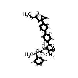 COC(=O)CC1(c2ccc(-c3ccc(-c4onc(C)c4NC(=O)O[C@H](C)c4ccccc4)cc3)cc2)CC1